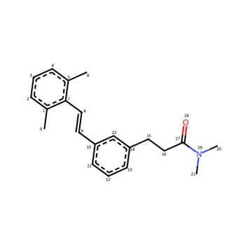 Cc1cccc(C)c1C=Cc1cccc(CCC(=O)N(C)C)c1